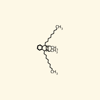 CCCCCCCCCC(NCC)c1ccccc1C(CCCCCCCCC)NCC